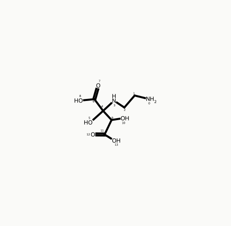 NCCNC(O)(C(=O)O)C(O)C(=O)O